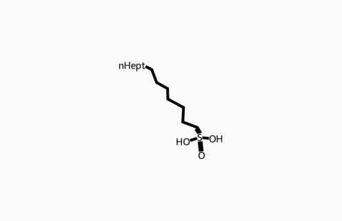 CCCCCCCCCCCCCC=S(=O)(O)O